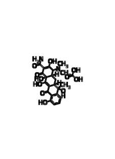 CN(C)[C@@H]1C(O)=C(C(N)=O)C(=O)[C@@]2(O)C(O)=C3C(=O)c4c(O)cccc4[C@@](C)(O)[C@H]3C[C@@H]12.O=C(O)O